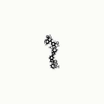 COc1cc(-c2cn(C)c(=O)c3cnccc23)cc(OC)c1CN1CCC2(CC1)CN(c1ccc3c(c1)C(=O)N(C1CCCNC1=O)C3)C2